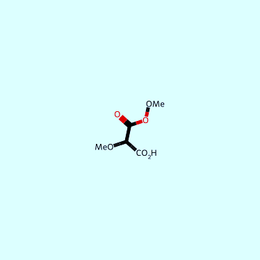 COOC(=O)C(OC)C(=O)O